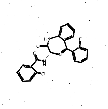 O=C(N[C@H]1N=C(c2ccccc2F)c2ccccc2NC1=O)c1ccccc1Cl